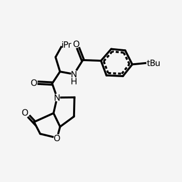 CC(C)CC(NC(=O)c1ccc(C(C)(C)C)cc1)C(=O)N1CCC2OCC(=O)C21